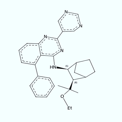 CCOC(C)(C)[C@@H]1C2CCC(C2)[C@@H]1Nc1nc(-c2cncnc2)nc2cccc(-c3ccccc3)c12